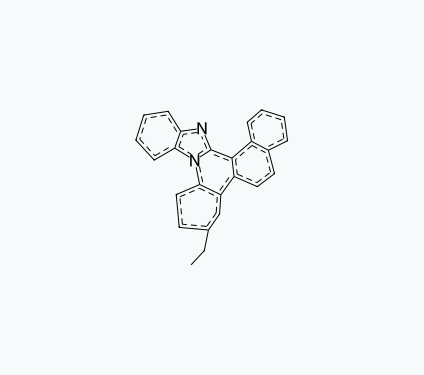 CCc1ccc2c(c1)c1ccc3ccccc3c1c1nc3ccccc3n21